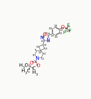 CC(C)(C)OC(=O)N1CCC2(CC1)CC(c1noc(-c3ccc(OC(F)(F)F)cc3)n1)C2